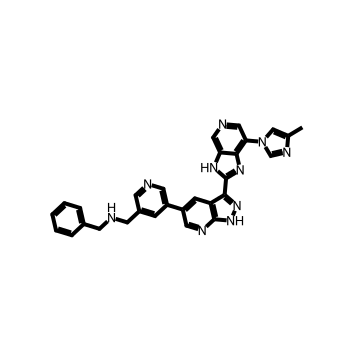 Cc1cn(-c2cncc3[nH]c(-c4n[nH]c5ncc(-c6cncc(CNCc7ccccc7)c6)cc45)nc23)cn1